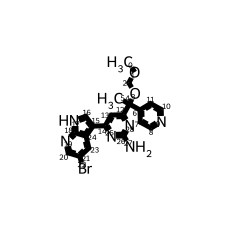 COCOC(C)(c1ccncc1)c1cc(-c2c[nH]c3ncc(Br)cc23)nc(N)n1